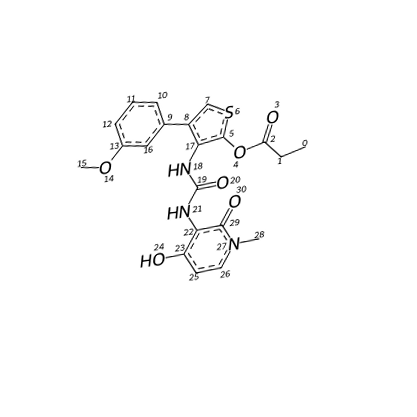 CCC(=O)Oc1scc(-c2cccc(OC)c2)c1NC(=O)Nc1c(O)ccn(C)c1=O